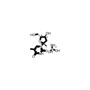 Cc1cn([C@@]2(I)C[C@H](O)[C@@H](CO)O2)c(=O)[nH]c1=O.NP(O)O